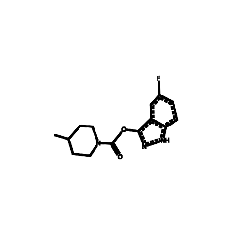 CC1CCN(C(=O)Oc2n[nH]c3ccc(F)cc23)CC1